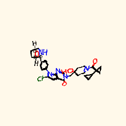 O=C(N1CCC(O)(Cn2cnc3c(cc(Cl)n3-c3ccc([C@@H]4NC[C@@H]5CC[C@H]4O5)cc3)c2=O)CC1)C1(C2CC2)CC1